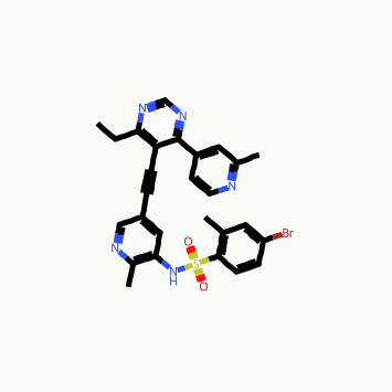 CCc1ncnc(-c2ccnc(C)c2)c1C#Cc1cnc(C)c(NS(=O)(=O)c2ccc(Br)cc2C)c1